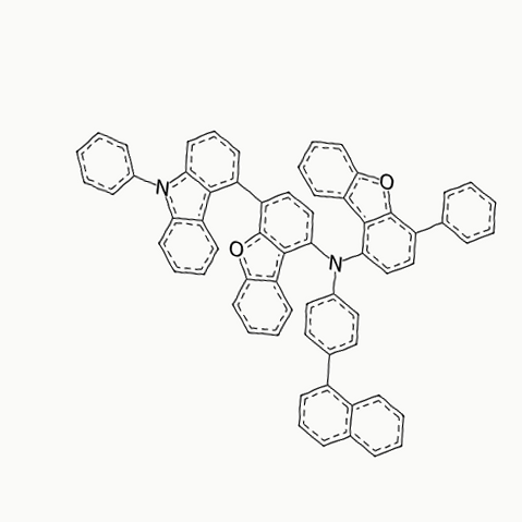 c1ccc(-c2ccc(N(c3ccc(-c4cccc5ccccc45)cc3)c3ccc(-c4cccc5c4c4ccccc4n5-c4ccccc4)c4oc5ccccc5c34)c3c2oc2ccccc23)cc1